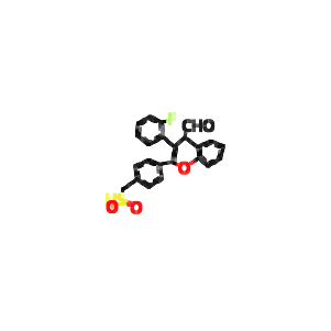 O=CC1C(c2ccccc2F)=C(c2ccc(C[SH](=O)=O)cc2)Oc2ccccc21